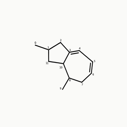 CC1CC2=CC=CCC(C)C2C1